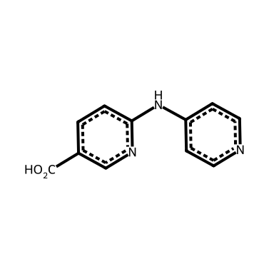 O=C(O)c1ccc(Nc2ccncc2)nc1